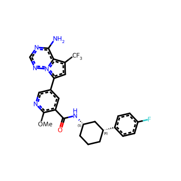 COc1ncc(-c2cc(C(F)(F)F)c3c(N)ncnn23)cc1C(=O)N[C@H]1CCC[C@@H](c2ccc(F)cc2)C1